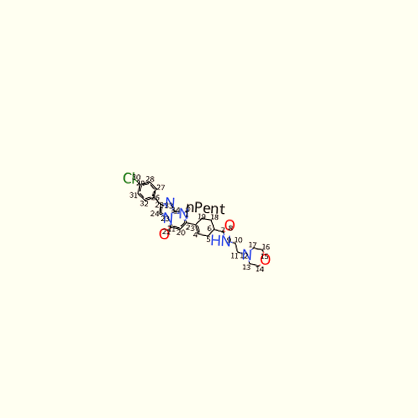 CCCCCn1c(C2=CCC(C(=O)NCCN3CCOCC3)CC2)cc(=O)n2cc(-c3ccc(Cl)cc3)nc12